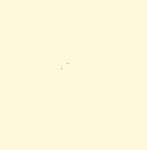 NC(=O)C=CC=CC1(F)C[C@@H]1c1ccc(Cl)c(Cl)c1